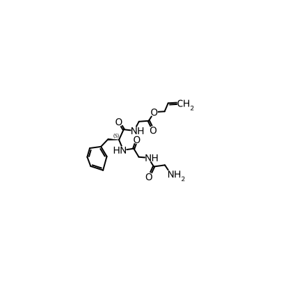 C=CCOC(=O)CNC(=O)[C@H](Cc1ccccc1)NC(=O)CNC(=O)CN